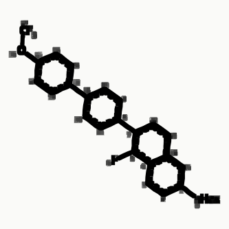 CCCCCCc1ccc2c(F)c(-c3ccc(-c4ccc(OC(F)(F)F)cc4)cc3)ccc2c1